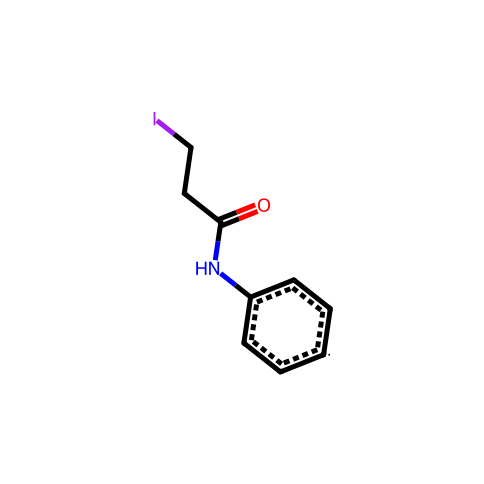 O=C(CCI)Nc1cc[c]cc1